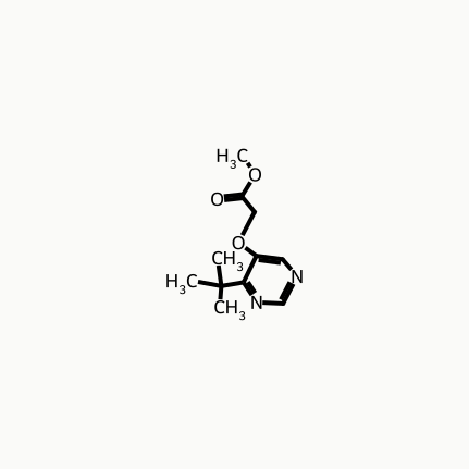 COC(=O)COc1cncnc1C(C)(C)C